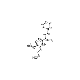 CC(C)(C)OC(=O)[C@H](CCCO)NC(=O)[C@@H](N)CCN1CCOCC1